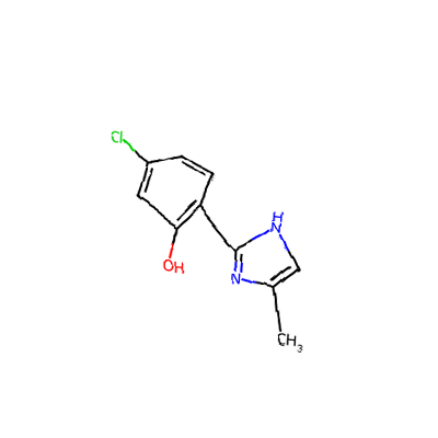 Cc1c[nH]c(-c2ccc(Cl)cc2O)n1